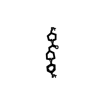 CC(C)c1ccc(N2CCC(CC(=O)N3CCC(C(C)C)CC3)CC2)cc1